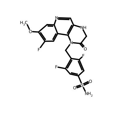 COc1cc2ncc3c(c2cc1F)N(Cc1c(F)cc(S(N)(=O)=O)cc1F)C(=O)CN3